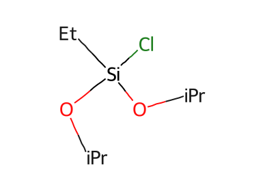 CC[Si](Cl)(OC(C)C)OC(C)C